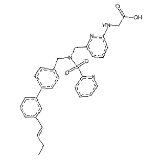 CCC=Cc1cccc(-c2ccc(CN(Cc3cccc(NCC(=O)O)n3)S(=O)(=O)c3ccccn3)cc2)c1